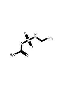 CCNS(=O)(=O)OC(C)=O